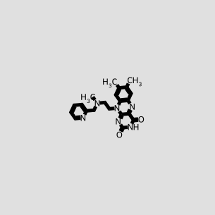 Cc1cc2nc3c(=O)[nH]c(=O)nc-3n(CCN(C)Cc3ccccn3)c2cc1C